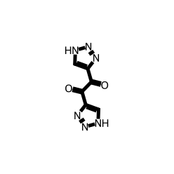 O=C(C(=O)c1c[nH]nn1)c1c[nH]nn1